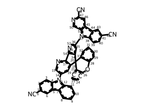 N#Cc1ccc2c(c1)c1ccccc1n2-c1cnc2c(c1)C1(c3ccccc3Oc3ccccc31)c1cc(-n3c4ccc(C#N)cc4c4cc(C#N)ncc43)cnc1-2